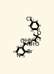 CC(C)(Oc1ccc(Cl)cc1)C(=O)NNC(=O)c1ccncc1Br